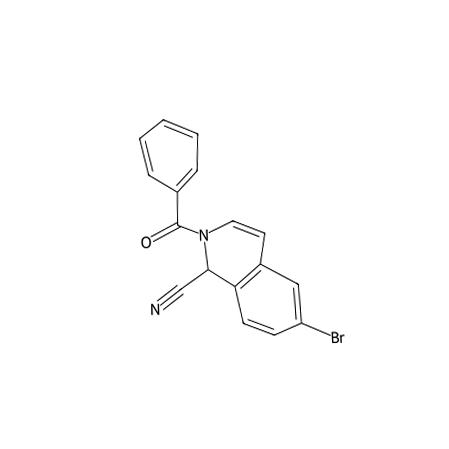 N#CC1c2ccc(Br)cc2C=CN1C(=O)c1ccccc1